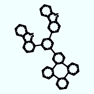 c1ccc2c(c1)-c1ccccc1-c1ccc(-c3cc(-c4ccc5sc6ccccc6c5c4)cc(-c4cccc5c4sc4ccccc45)c3)cc1-c1ccccc1-2